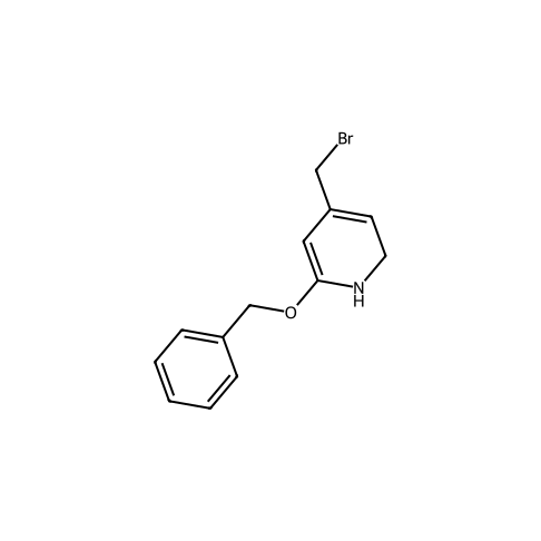 BrCC1=CCNC(OCc2ccccc2)=C1